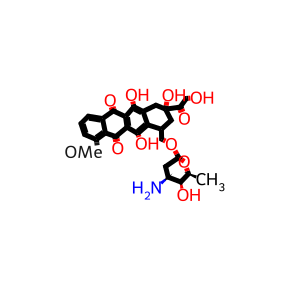 COc1cccc2c1C(=O)c1c(O)c3c(c(O)c1C2=O)CC(O)(C(=O)CO)CC3COC1C[C@H](N)[C@H](O)[C@H](C)O1